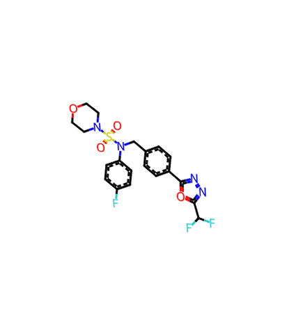 O=S(=O)(N1CCOCC1)N(Cc1ccc(-c2nnc(C(F)F)o2)cc1)c1ccc(F)cc1